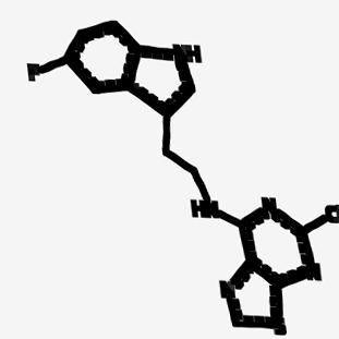 Fc1ccc2[nH]cc(CCNc3nc(Cl)nc4scnc34)c2c1